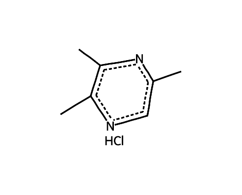 Cc1cnc(C)c(C)n1.Cl